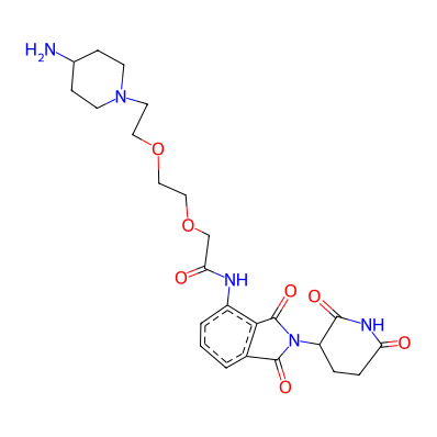 NC1CCN(CCOCCOCC(=O)Nc2cccc3c2C(=O)N(C2CCC(=O)NC2=O)C3=O)CC1